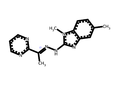 C/C(=N\Nc1nc2cc(C)ccc2n1C)c1ncccn1